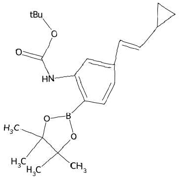 CC(C)(C)OC(=O)Nc1cc(C=CC2CC2)ccc1B1OC(C)(C)C(C)(C)O1